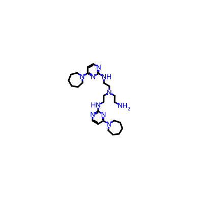 NCCN(CCNc1nccc(N2CCCCCC2)n1)CCNc1nccc(N2CCCCCC2)n1